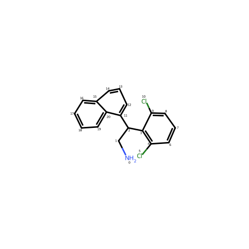 NCC(c1c(Cl)cccc1Cl)c1cccc2ccccc12